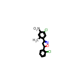 Cc1cc([N+](=O)[O-])c(Cl)cc1C1=NOC(c2ccccc2Cl)C1